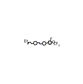 C=C(CC)CCC1CCC(/C=C/C2CCC(c3ccc(OC(F)(F)F)c(F)c3)CC2)CC1